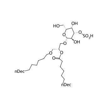 CCCCCCCCCCCCCCCCOC[C@H](CO[C@@H]1O[C@H](CO)[C@H](O)[C@H](OS(=O)(=O)O)[C@H]1O)OC(=O)CCCCCCCCCCCCCCC